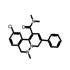 CN(C)C(=O)C1=C2c3cc(Cl)ccc3CN(C)N2CC(c2ccccc2)=C1